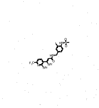 CCC/C(=C\C(=O)NCc1ccc(NS(C)(=O)=O)c(I)c1)c1ccc(C(F)(F)F)nc1CCC